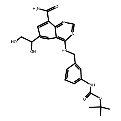 CC(C)(C)OC(=O)Nc1cccc(CNc2ncnc3c(C(N)=O)cc(C(O)CO)cc23)c1